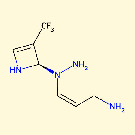 NC/C=C\N(N)[C@H]1NC=C1C(F)(F)F